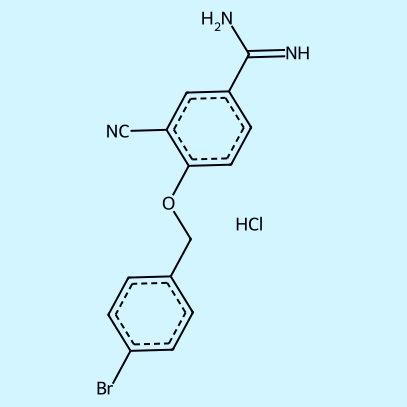 Cl.N#Cc1cc(C(=N)N)ccc1OCc1ccc(Br)cc1